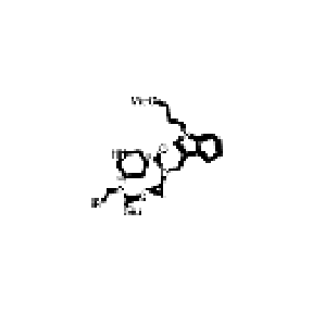 COCCCn1cc(CN(C(=O)[C@H]2CNC[C@@H](N(CC(C)C)C(=O)C(C)(C)C)C2)C2CC2)c2ccccc21